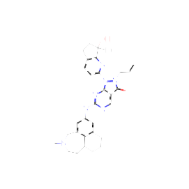 C=CCn1c(=O)c2cnc(Nc3cc4c5c(c3)CN(C)CCC5(C)CCC4)nc2n1-c1ccc2c(n1)C(O)(CC)CC2